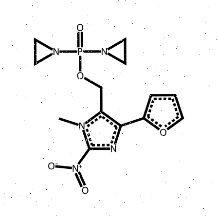 Cn1c([N+](=O)[O-])nc(-c2ccco2)c1COP(=O)(N1CC1)N1CC1